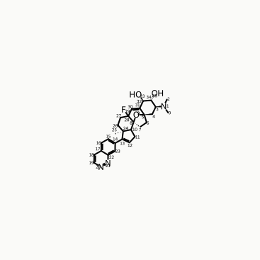 CN(C)[C@H]1C[C@@]23CC[C@]4(O2)C2CC=C(c5ccc6ccnnc6c5)[C@@]2(C)CCC4(F)C=C3[C@@H](O)[C@@H]1O